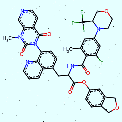 Cc1cc(N2CCOC[C@@H]2C(F)(F)F)cc(F)c1C(=O)NC(Cc1ccc(-n2c(=O)c3ccncc3n(C)c2=O)c2ncccc12)C(=O)Oc1ccc2c(c1)COC2